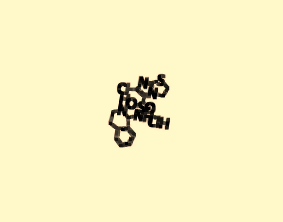 Cl.O=S(=O)(NC1NCCc2ccccc21)c1c(Cl)nc2n1CCS2